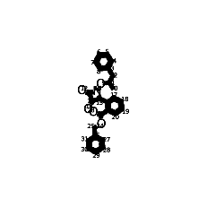 CC(Cc1ccccc1)ON1C(=O)C(=O)C1c1ccccc1C(=O)OCc1ccccc1